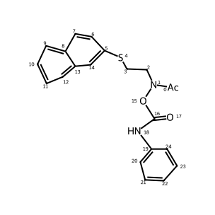 CC(=O)N(CCSc1ccc2ccccc2c1)OC(=O)Nc1ccccc1